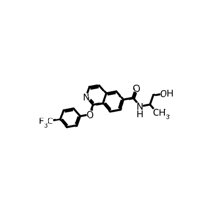 CC(CO)NC(=O)c1ccc2c(Oc3ccc(C(F)(F)F)cc3)nccc2c1